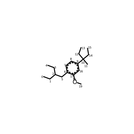 CCC(CC)Cc1ccc(C(C)(CC)CC)cc1OC